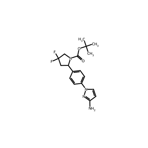 CC(C)(C)OC(=O)N1CC(F)(F)CC1c1ccc(-n2ccc(N)n2)cc1